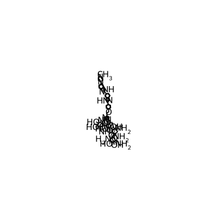 CN1CCN(c2ccc3nc(-c4ccc5nc(-c6ccc(OCc7cn(C[C@H]8OC(O[C@@H]9C(O)[C@H](N)CC(N)[C@@H]9O[C@@H]9OC(CN)[C@@H](O)[C@H](O)C9N)[C@@H](O)[C@H]8O[C@H]8O[C@@H](CN)[C@@H](O)C(O)C8N)nn7)cc6)[nH]c5c4)[nH]c3c2)CC1